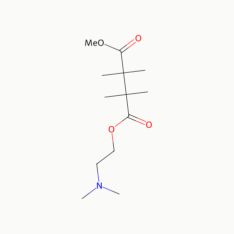 COC(=O)C(C)(C)C(C)(C)C(=O)OCCN(C)C